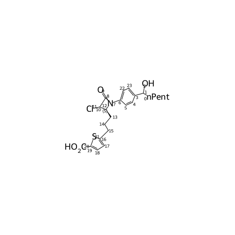 CCCCCC(O)c1ccc(N2C(=O)C(Cl)[C@@H]2CCCc2ccc(C(=O)O)s2)cc1